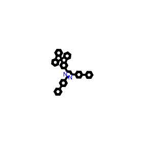 c1ccc(-c2ccc(-c3cc(-c4ccc5c(c4)-c4ccccc4C54c5ccccc5-c5ccccc54)nc(-c4ccc(-c5ccccc5)cc4)n3)cc2)cc1